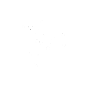 COc1ccc([C@H](Cc2c(Cl)c[n+]([O-])cc2Cl)OC(=O)c2csc(C=O)c2)cc1OC